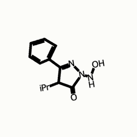 CC(C)C1C(=O)N(NO)N=C1c1ccccc1